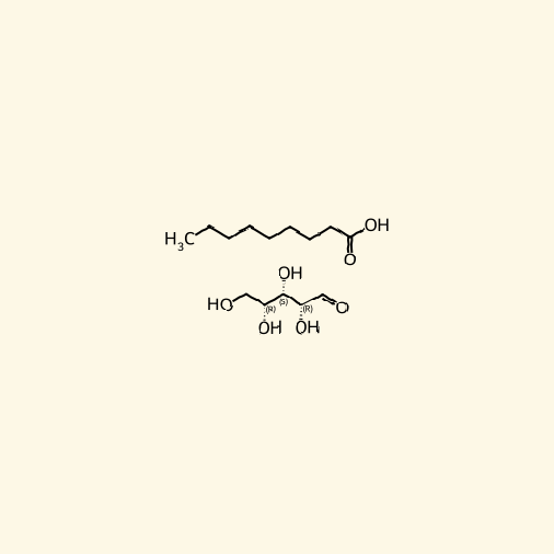 CCCCCCCCC(=O)O.O=C[C@H](O)[C@@H](O)[C@H](O)CO